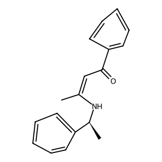 CC(=CC(=O)c1ccccc1)N[C@@H](C)c1ccccc1